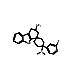 CN(C)C1(c2cccc(F)c2)CCC2(CC1)CC(N)Cc1c2[nH]c2ccccc12